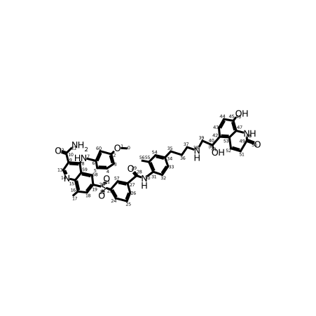 COc1cccc(Nc2c(C(N)=O)cnc3c(C)cc(S(=O)(=O)c4cccc(C(=O)Nc5ccc(CCCNC[C@H](O)c6ccc(O)c7[nH]c(=O)ccc67)cc5C)c4)cc23)c1